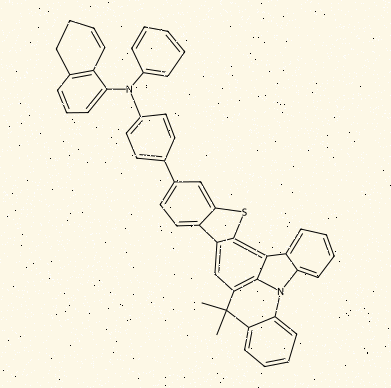 CC1(C)c2ccccc2-n2c3ccccc3c3c4sc5cc(-c6ccc(N(c7ccccc7)c7cccc8c7C=CCC8)cc6)ccc5c4cc1c32